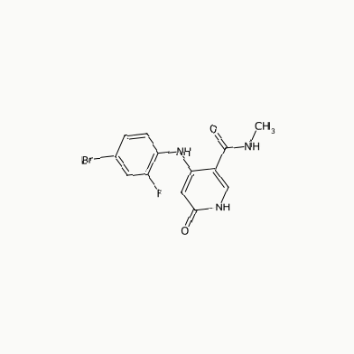 CNC(=O)c1c[nH]c(=O)cc1Nc1ccc(Br)cc1F